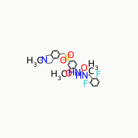 COc1cc(S(=O)(=O)Cc2ccc3c(c2)CCN(C)C3)ccc1NC(=O)NC(C)c1c(F)cccc1F